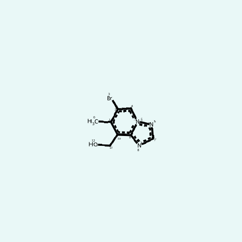 Cc1c(Br)cn2ncnc2c1CO